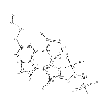 C=COCc1cc(-c2c(F)cccc2F)c2c(-n3cc4n(c3=O)C[C@@H](NS(C)(=O)=O)C4(F)F)noc2c1